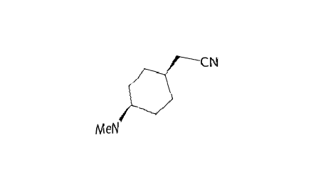 CN[C@H]1CC[C@@H](CC#N)CC1